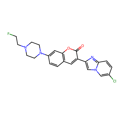 O=c1oc2cc(N3CCN(CCF)CC3)ccc2cc1-c1cn2cc(Cl)ccc2n1